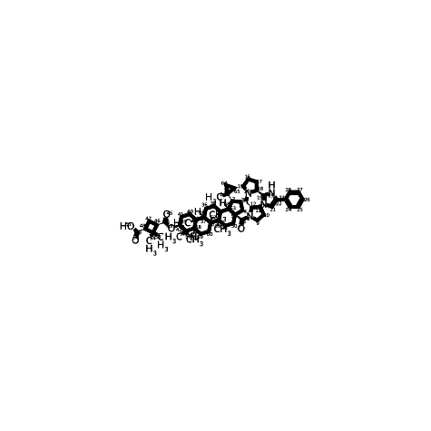 CC1([C@@H]2CC[C@]3(C(=O)N4CCC[C@H]4CN4CCC[C@H]4c4ncc(-c5ccccc5)[nH]4)CC[C@]4(C)C(CC[C@@H]5[C@@]6(C)CC[C@H](OC(=O)[C@H]7C[C@@H](C(=O)O)C7(C)C)C(C)(C)[C@@H]6CC[C@]54C)[C@@H]23)CC1